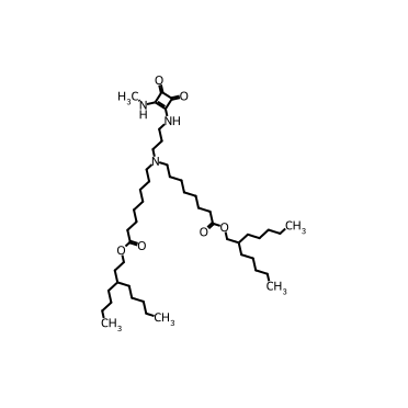 CCCCCC(CCCC)CCOC(=O)CCCCCCCN(CCCCCCCC(=O)OCC(CCCCC)CCCCC)CCCNc1c(NC)c(=O)c1=O